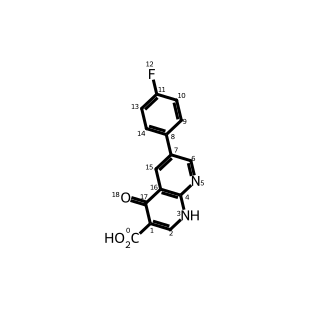 O=C(O)c1c[nH]c2ncc(-c3ccc(F)cc3)cc2c1=O